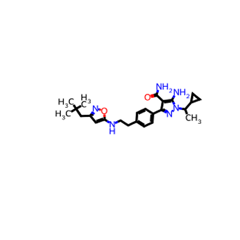 CC(C1CC1)n1nc(-c2ccc(CCNc3cc(CC(C)(C)C)no3)cc2)c(C(N)=O)c1N